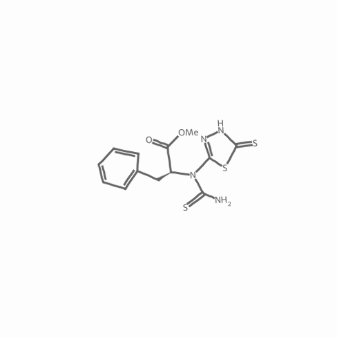 COC(=O)[C@H](Cc1ccccc1)N(C(N)=S)c1n[nH]c(=S)s1